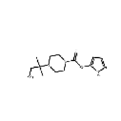 CC(C)(CO)N1CCN(C(=O)Oc2ccn[nH]2)CC1